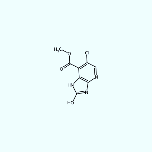 COC(=O)c1c(Cl)cnc2nc(O)[nH]c12